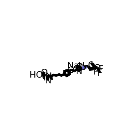 O=C(O)Cn1ncc(CCCCc2ccc(OCc3coc(/C=C/c4ccc(OC(F)(F)F)cc4)n3)cc2)n1.[NaH]